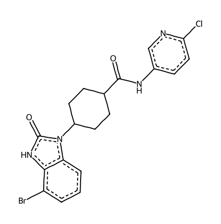 O=C(Nc1ccc(Cl)nc1)C1CCC(n2c(=O)[nH]c3c(Br)cccc32)CC1